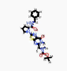 C[C@H](c1nc2sc(N3CCC[C@@H]3C(=O)NCc3ccccc3)nc2c(=O)n1C)N(C)C(=O)OC(C)(C)C